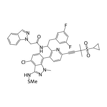 CSNc1nn(C)c2c(-c3ccc(C#CC(C)(C)S(=O)(=O)C4CC4)nc3C(Cc3cc(F)cc(F)c3)NC(=O)Cn3ncc4ccccc43)ccc(Cl)c12